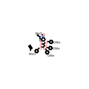 C#CC1C[C@H]2[C@@H](OC3OC(OCc4ccc(OC)cc4)C(OCc4ccc(OC)cc4)C(OCc4ccc(OC)cc4)C3COCc3ccc(OC)cc3)CCC[C@H]2N1C(=O)OC.Cc1cc2ccc1-2